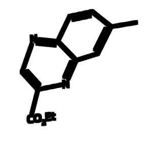 CCOC(=O)c1cnc2ccc(C)cc2n1